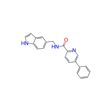 O=C(NCc1ccc2[nH]ccc2c1)c1ccc(-c2ccccc2)cn1